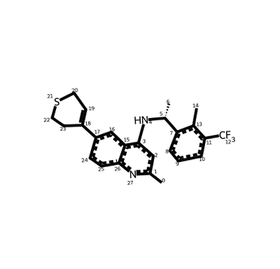 Cc1cc(N[C@H](C)c2cccc(C(F)(F)F)c2C)c2cc(C3=CCSCC3)ccc2n1